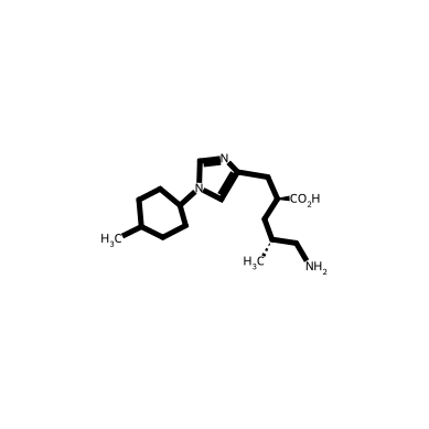 CC1CCC(n2cnc(C[C@H](C[C@@H](C)CN)C(=O)O)c2)CC1